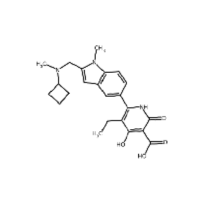 CCc1c(-c2ccc3c(c2)cc(CN(C)C2CCC2)n3C)[nH]c(=O)c(C(=O)O)c1O